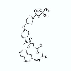 CCOC(=O)CCS(=O)(=O)N(Cc1ccc2ccc(C#N)cc2c1)c1ccc(OC2CCN(C(=O)OC(C)(C)C)CC2)cc1